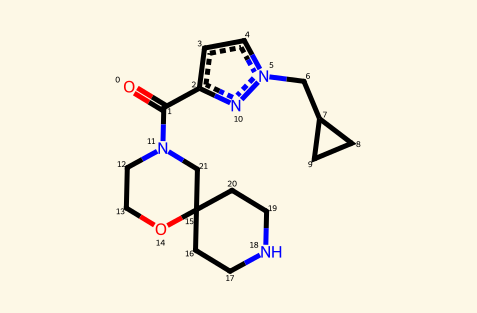 O=C(c1ccn(CC2CC2)n1)N1CCOC2(CCNCC2)C1